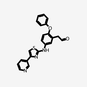 O=CCc1cc(Nc2nc(-c3cccnc3)cs2)ccc1Oc1ccccc1